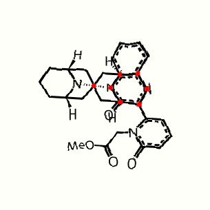 COC(=O)Cn1c(-c2nc3ccccc3n([C@H]3C[C@H]4CCC[C@@H](C3)N4[C@H]3C[C@@H]4CCC[C@@H](C4)C3)c2=O)cccc1=O